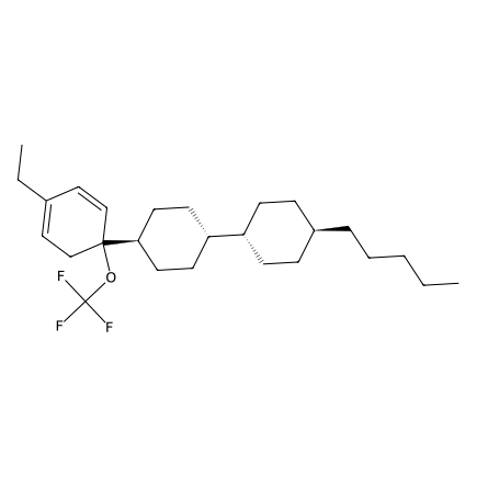 CCCCC[C@H]1CC[C@H]([C@H]2CC[C@H](C3(OC(F)(F)F)C=CC(CC)=CC3)CC2)CC1